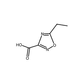 CCc1nc(C(=O)O)no1